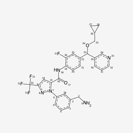 NCc1cccc(-n2nc(C(F)(F)F)cc2C(=O)Nc2ccc(C(OCC3CC3)c3cccnc3)cc2F)c1